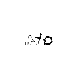 O=S(=O)(O)CC(F)(F)c1ccccn1